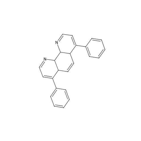 C1=CC2C(c3ccccc3)=CC=NC2C2N=CC=C(c3ccccc3)C12